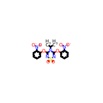 CC(C)N1C(Oc2ccccc2[N+](=O)[O-])=NS(=O)(=O)N=C1Oc1ccccc1[N+](=O)[O-]